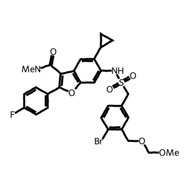 CNC(=O)c1c(-c2ccc(F)cc2)oc2cc(NS(=O)(=O)Cc3ccc(Br)c(COCOC)c3)c(C3CC3)cc12